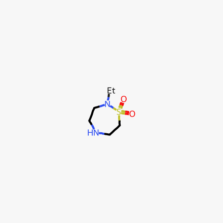 CCN1CCNCCS1(=O)=O